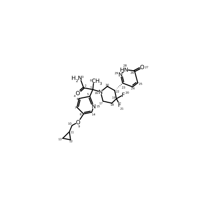 CC(C(N)=O)(c1ccc(OCC2CC2)cn1)N1CCC(F)(F)[C@@H](c2ccc(=O)[nH]n2)C1